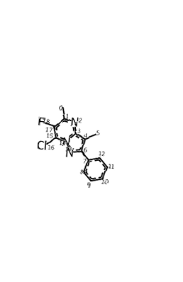 Cc1nc2c(C)c(-c3ccccc3)nn2c(Cl)c1F